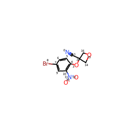 N#CC1(Oc2ccc(Br)cc2[N+](=O)[O-])COC1